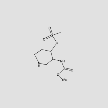 CC(C)(C)OC(=O)NC1CNCCC1OS(C)(=O)=O